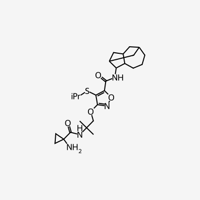 CC(C)Sc1c(OCC(C)(C)NC(=O)C2(N)CC2)noc1C(=O)NC1C2CC3CCCC1C(C3)C2